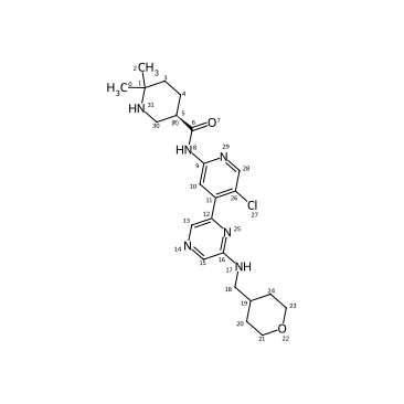 CC1(C)CC[C@@H](C(=O)Nc2cc(-c3cncc(NCC4CCOCC4)n3)c(Cl)cn2)CN1